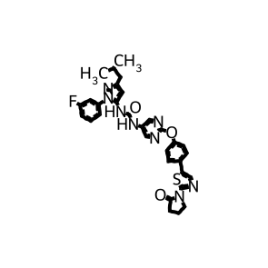 CC(C)Cc1cc(NC(=O)Nc2cnc(Oc3ccc(-c4cnc(N5CCCC5=O)s4)cc3)nc2)n(-c2cccc(F)c2)n1